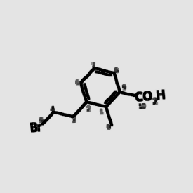 Cc1c(CCBr)cccc1C(=O)O